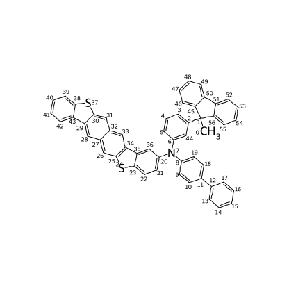 CC1(c2cccc(N(c3ccc(-c4ccccc4)cc3)c3ccc4sc5cc6cc7c(cc6cc5c4c3)sc3ccccc37)c2)c2ccccc2-c2ccccc21